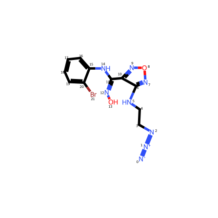 [N-]=[N+]=NCCNc1nonc1C(=NO)Nc1ccccc1Br